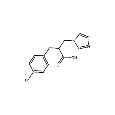 O=C(O)C(Cc1ccc(Br)cc1)Cn1ccnc1